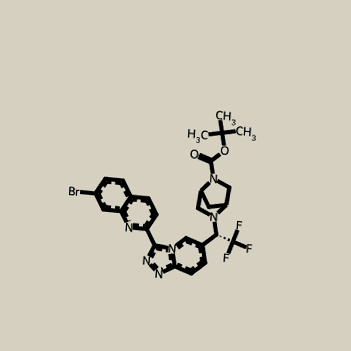 CC(C)(C)OC(=O)N1CC2CC1CN2[C@@H](c1ccc2nnc(-c3ccc4ccc(Br)cc4n3)n2c1)C(F)(F)F